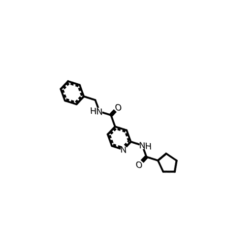 O=C(NCc1ccccc1)c1ccnc(NC(=O)C2CCCC2)c1